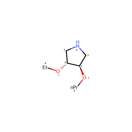 CCCO[C@@H]1CNC[C@H]1OCC